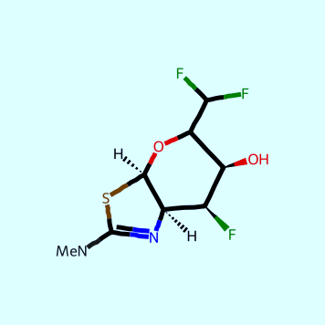 CNC1=N[C@@H]2[C@H](F)[C@H](O)C(C(F)F)O[C@@H]2S1